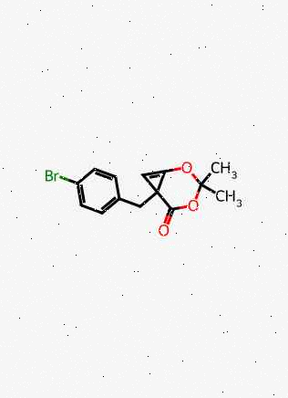 CC1(C)OC(=O)C2(Cc3ccc(Br)cc3)C=C2O1